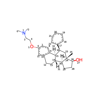 CN(C)CCOc1ccc2c(c1)CC[C@@H]1[C@@H]2[C@@H](c2ccccc2)C[C@]2(C)[C@@H](O)CC[C@@H]12